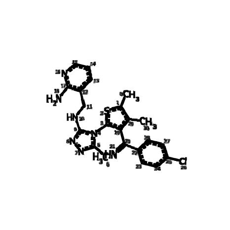 Cc1sc(-n2c(C)nnc2NCc2cccnc2N)c(C(=N)c2ccc(Cl)cc2)c1C